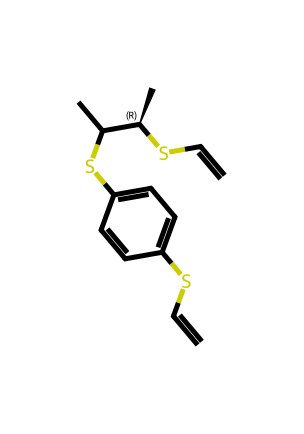 C=CSc1ccc(SC(C)[C@@H](C)SC=C)cc1